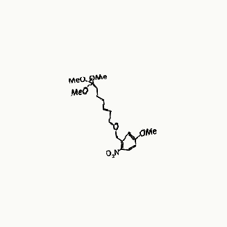 COc1ccc([N+](=O)[O-])c(COCCCCCC[Si](OC)(OC)OC)c1